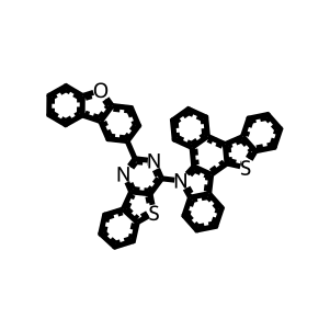 c1ccc2c(c1)oc1ccc(-c3nc(-n4c5ccccc5c5c6sc7ccccc7c6c6ccccc6c54)c4sc5ccccc5c4n3)cc12